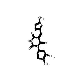 Cc1ccc(/C=C2\C(=O)NC(=O)N(c3ccc(C)c(C)c3)C2=O)o1